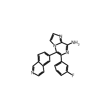 Nc1nc(-c2cccc(F)c2)c(-c2ccc3cnccc3c2)n2ccnc12